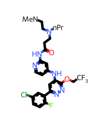 CCCN(CCNC)CCC(=O)Nc1cc(Nc2cc(-c3cc(Cl)ccc3F)nnc2OCC(F)(F)F)ccn1